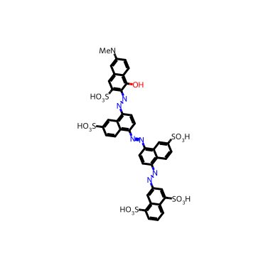 CNc1ccc2c(O)c(N=Nc3ccc(N=Nc4ccc(N=Nc5cc(S(=O)(=O)O)c6cccc(S(=O)(=O)O)c6c5)c5ccc(S(=O)(=O)O)cc45)c4ccc(S(=O)(=O)O)cc34)c(S(=O)(=O)O)cc2c1